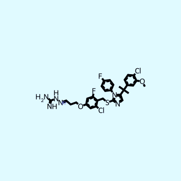 COc1cc(C(C)(C)c2cnc(SCc3c(F)cc(OCC/C=N/NC(=N)N)cc3Cl)n2-c2ccc(F)cc2)ccc1Cl